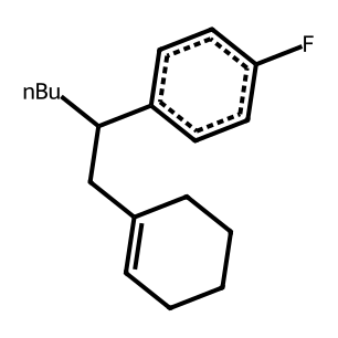 CCCCC(CC1=CCCCC1)c1ccc(F)cc1